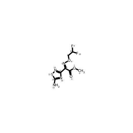 COC(=O)/C(=N\OCC(F)F)c1nsc(N)n1